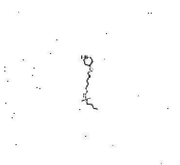 CCCC[Si](C)(C)OCCCCCCOC1CCNCC1